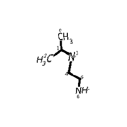 CC(C)[N]CC[NH]